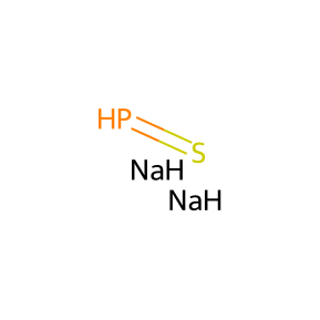 P=S.[NaH].[NaH]